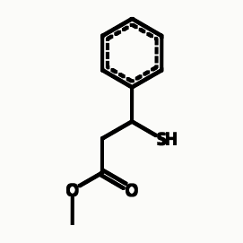 COC(=O)CC(S)c1ccccc1